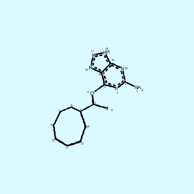 Nc1nc(OC(I)C2CCCCCCC2)c2nn[nH]c2n1